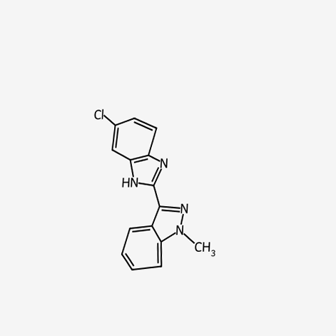 Cn1nc(-c2nc3ccc(Cl)cc3[nH]2)c2ccccc21